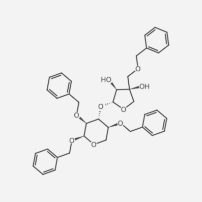 O[C@@H]1[C@@H](O[C@H]2[C@H](OCc3ccccc3)[C@H](OCc3ccccc3)OC[C@@H]2OCc2ccccc2)OC[C@@]1(O)COCc1ccccc1